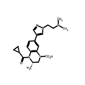 C[C@H]1CN(C(=O)O)c2cc(-c3cnn(CCN(C)C)c3)ccc2N1C(=O)C1CC1